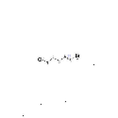 ClCCC/C=C/Br